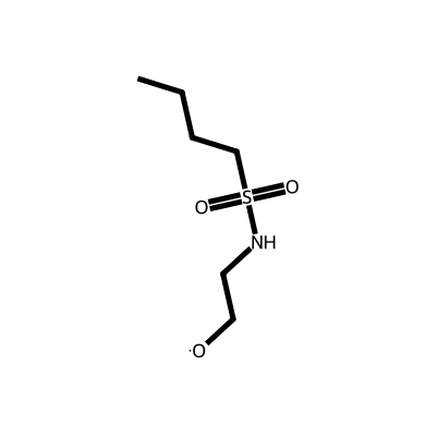 CCCCS(=O)(=O)NCC[O]